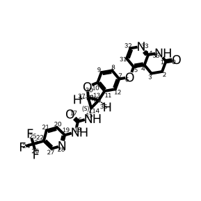 O=C1CCc2c(Oc3ccc4c(c3)[C@H]3[C@H](NC(=O)Nc5ccc(C(F)(F)F)cn5)[C@H]3O4)ccnc2N1